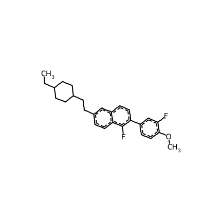 CCC1CCC(CCc2ccc3c(F)c(-c4ccc(OC)c(F)c4)ccc3c2)CC1